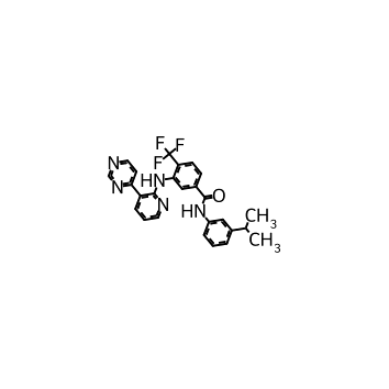 CC(C)c1cccc(NC(=O)c2ccc(C(F)(F)F)c(Nc3ncccc3-c3ccncn3)c2)c1